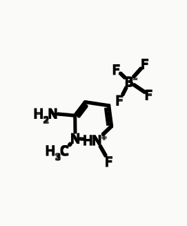 CN1C(N)=CC=C[NH+]1F.F[B-](F)(F)F